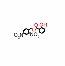 O=C(OCc1ccc([N+](=O)[O-])cc1[N+](=O)[O-])c1ccccc1O